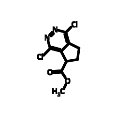 COC(=O)C1CCc2c(Cl)nnc(Cl)c21